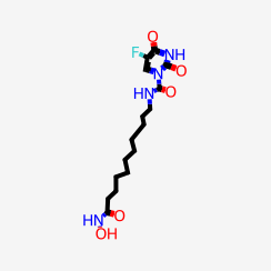 O=C(CCCCCCCCCCNC(=O)n1cc(F)c(=O)[nH]c1=O)NO